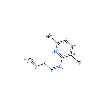 C=CC/C=N\c1nc(C#N)ccc1C(C)=O